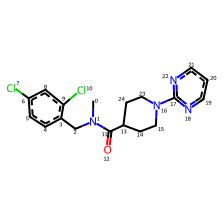 CN(Cc1ccc(Cl)cc1Cl)C(=O)C1CCN(c2ncccn2)CC1